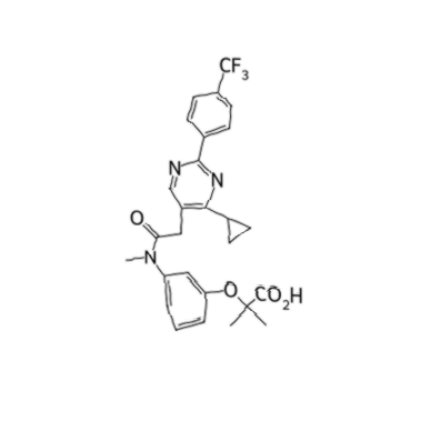 CN(C(=O)Cc1cnc(-c2ccc(C(F)(F)F)cc2)nc1C1CC1)c1cccc(OC(C)(C)C(=O)O)c1